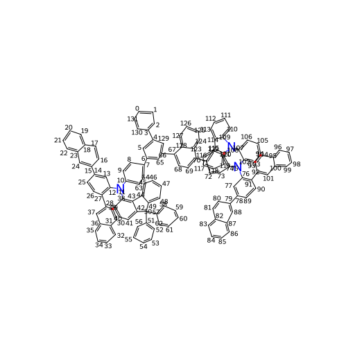 c1ccc(-c2cc(-c3ccc(N(c4cc(-c5ccc6ccccc6c5)ccc4-c4ccc5ccccc5c4)c4cccc5c4-c4ccccc4C5(c4ccccc4)c4ccccc4)cc3)cc(-c3ccc(-c4ccc(N(c5cc(-c6ccc7ccccc7c6)ccc5-c5ccc6ccccc6c5)c5ccccc5-n5c6ccccc6c6ccccc65)cc4)c4ccccc34)c2)cc1